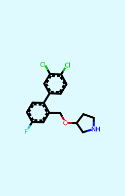 Fc1ccc(-c2ccc(Cl)c(Cl)c2)c(COC2CCNC2)c1